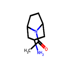 CC(=O)N1C2CCC1CC(N)C2